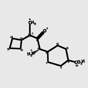 CN(C(=O)[C@@H](N)C1CCC(C(=O)O)CC1)C1CCC1